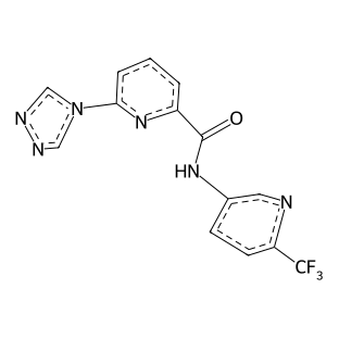 O=C(Nc1ccc(C(F)(F)F)nc1)c1cccc(-n2cnnc2)n1